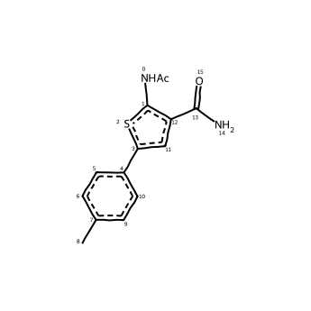 CC(=O)Nc1sc(-c2ccc(C)cc2)cc1C(N)=O